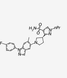 CCCn1cc(S(N)(=O)=O)c([C@H]2CCN(c3cc4cnn(-c5ccc(F)cc5)c4cc3C)C2)n1